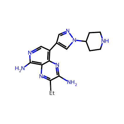 CCc1nc2c(N)ncc(-c3cnn(C4CCNCC4)c3)c2nc1N